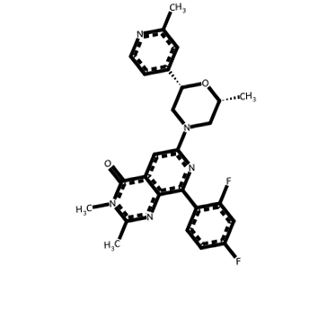 Cc1cc([C@H]2CN(c3cc4c(=O)n(C)c(C)nc4c(-c4ccc(F)cc4F)n3)C[C@@H](C)O2)ccn1